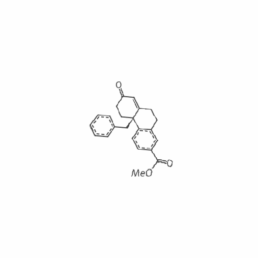 COC(=O)c1ccc2c(c1)CCC1=CC(=O)CC[C@]12Cc1ccccc1